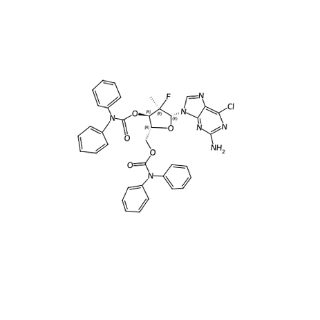 C[C@@]1(F)[C@H](OC(=O)N(c2ccccc2)c2ccccc2)[C@@H](COC(=O)N(c2ccccc2)c2ccccc2)O[C@H]1n1cnc2c(Cl)nc(N)nc21